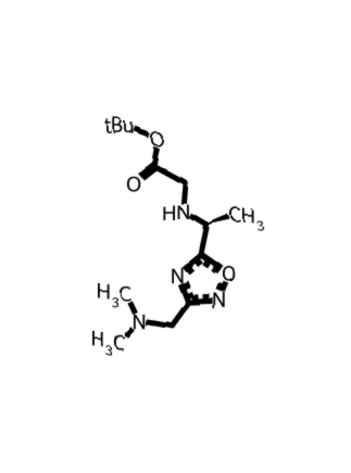 C[C@H](NCC(=O)OC(C)(C)C)c1nc(CN(C)C)no1